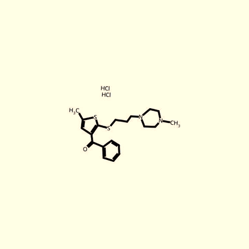 Cc1cc(C(=O)c2ccccc2)c(SCCCN2CCN(C)CC2)s1.Cl.Cl